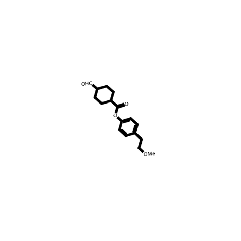 COCCc1ccc(OC(=O)C2CCC(C=O)CC2)cc1